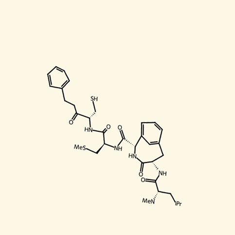 CN[C@@H](CC(C)C)C(=O)N[C@H]1Cc2cccc(c2)[C@@H](C(=O)N[C@@H](CSC)C(=O)N[C@@H](CS)C(=O)CCc2ccccc2)NC1=O